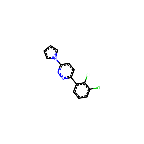 Clc1cccc(-c2ccc(-n3cccc3)nn2)c1Cl